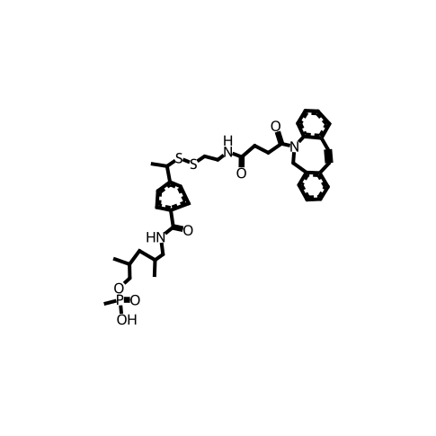 CC(CNC(=O)c1ccc(C(C)SSCCNC(=O)CCC(=O)N2Cc3ccccc3C#Cc3ccccc32)cc1)CC(C)COP(C)(=O)O